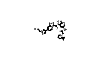 Cc1ncc(NC(=O)CN2CCCC23CC3)cc1NC(=O)c1nnc2cc(-c3cnn(CCO)c3)ccn12